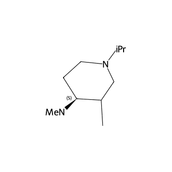 CN[C@H]1CCN(C(C)C)CC1C